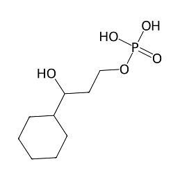 O=P(O)(O)OCCC(O)C1CCCCC1